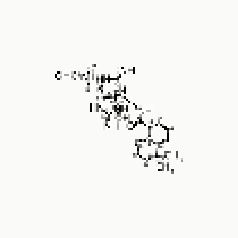 CN(C=O)C[C@@H]1NC(=N)N2CC(NC(=O)c3cccc4c3OCCC4(C)C)[C@@H](O)C23NC(=N)NC13